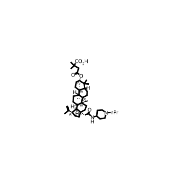 C=C(C)[C@@H]1CC[C@]2(CC(=O)NC3CCN(CCC)CC3)CC[C@]3(C)[C@H](CC[C@@H]4[C@@]5(C)CC[C@H](OC(=O)CC(C)(C)C(=O)O)C(C)(C)[C@@H]5CC[C@]43C)[C@@H]12